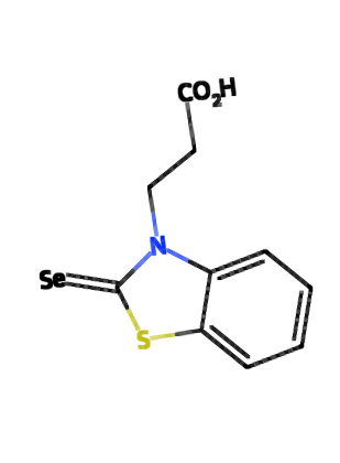 O=C(O)CCn1c(=[Se])sc2ccccc21